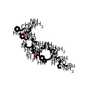 CCC(C)C(N)C(=O)N1CCCC1C(=O)NC(CO)C(=O)NC1Cc2c[nH]c3cc(ccc23)C(C(N)=O)C(C(=O)NC(C(=O)NC2Cc3cn(cn3)C(c3ccc(O)cc3)C(C(=O)NC(CCCNC(=N)N)C(=O)NC(Cc3ccccc3)C(=O)O)NC(=O)C(CO)NC2=O)C(C)C)NC(=O)C(CO)NC(O)C(CC(N)=O)NC1=O